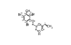 C=CC(=O)OC(CO)COc1c(Br)cc(Br)c(C)c1Br